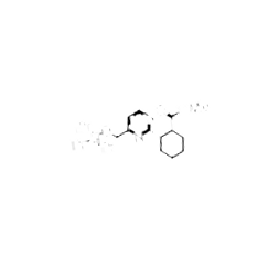 COC(=O)[C@H]1CCCC[C@@H]1c1nccc(CO[Si](C(C)C)(C(C)C)C(C)C)n1